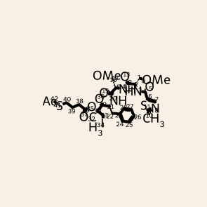 COC[C@H](NC(=O)c1cnc(C)s1)C(=O)N[C@@H](COC)C(=O)N[C@@H](Cc1ccccc1)C(=O)C(C)(CI)OC(=O)CCCSC(C)=O